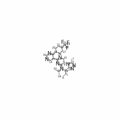 CC[C@@H]1c2nnc(C)n2-c2cnc(-c3cncnc3-c3ccc(C(F)(F)F)cc3)nc2N1C(C)C